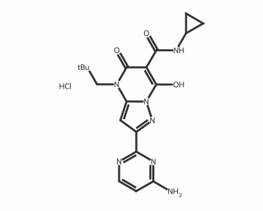 CC(C)(C)Cn1c(=O)c(C(=O)NC2CC2)c(O)n2nc(-c3nccc(N)n3)cc12.Cl